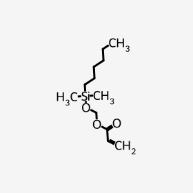 C=CC(=O)OCO[Si](C)(C)CCCCCC